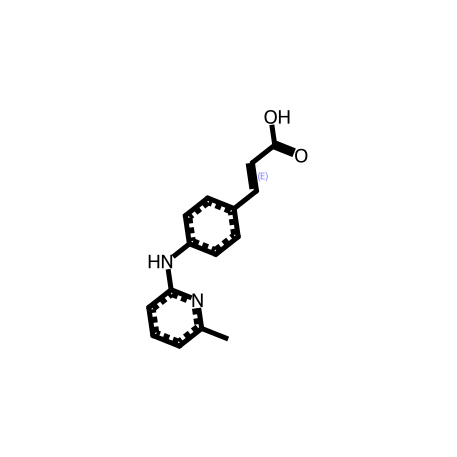 Cc1cccc(Nc2ccc(/C=C/C(=O)O)cc2)n1